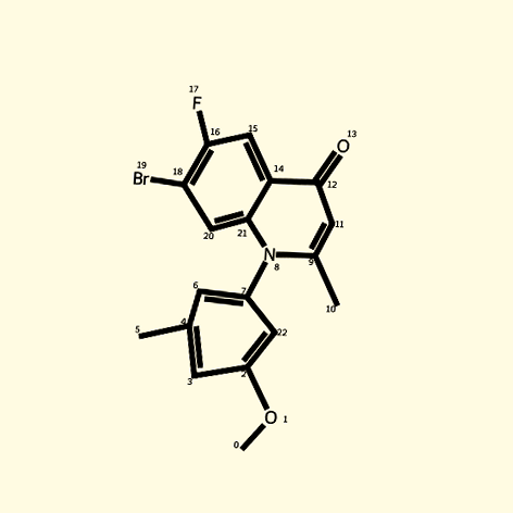 COc1cc(C)cc(-n2c(C)cc(=O)c3cc(F)c(Br)cc32)c1